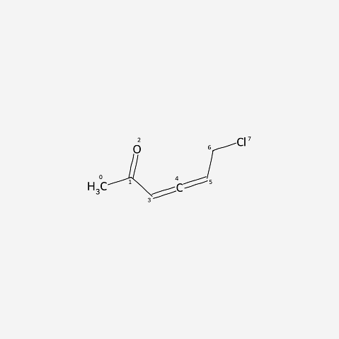 CC(=O)C=C=CCCl